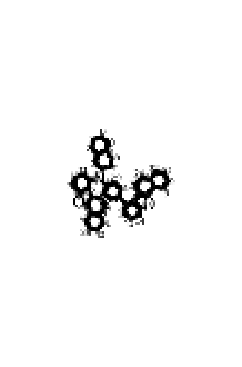 c1ccc2cc(N(c3ccc(-c4cccc5oc6c7ccccc7ccc6c45)cc3)c3cccc4oc5c6ccccc6ccc5c34)ccc2c1